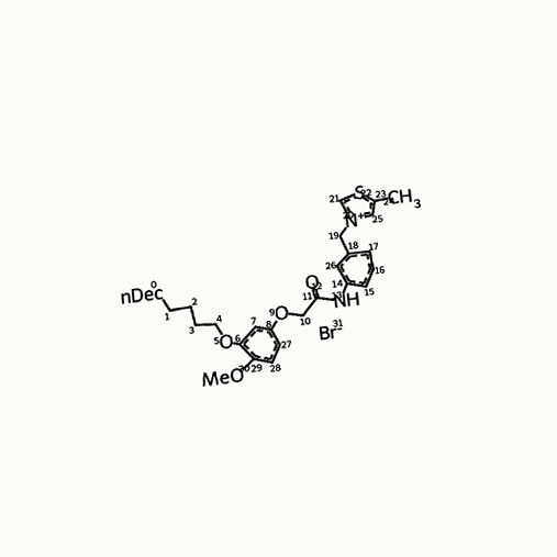 CCCCCCCCCCCCCCOc1cc(OCC(=O)Nc2cccc(C[n+]3csc(C)c3)c2)ccc1OC.[Br-]